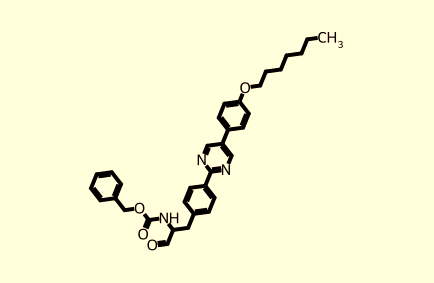 CCCCCCCOc1ccc(-c2cnc(-c3ccc(CC(C=O)NC(=O)OCc4ccccc4)cc3)nc2)cc1